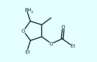 BC1OC(CC)C(OC(=O)CC)C1C